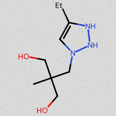 CCC1=CN(CC(C)(CO)CO)NN1